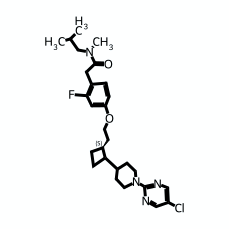 CC(C)CN(C)C(=O)Cc1ccc(OCC[C@@H]2CCC2C2CCN(c3ncc(Cl)cn3)CC2)cc1F